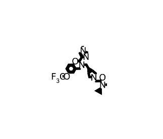 CN(C(=O)CN1CC2C(C1)C2CN(Cc1cccc(OC(F)(F)F)c1)C(=O)c1cn(C)cn1)C1CC1